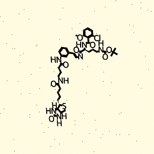 COc1cccc(Cl)c1C(=O)N[C@@H](CCCNC(=O)OC(C)(C)C)c1ncc(-c2cccc(NC(=O)CCCNC(=O)CCCC[C@@H]3SC[C@@H]4NC(=O)N[C@@H]43)c2)o1